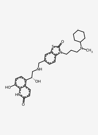 CN(CCCn1c(=O)sc2cc(CNC[C@H](O)c3ccc(O)c4[nH]c(=O)ccc34)ccc21)C1CC[CH]CC1